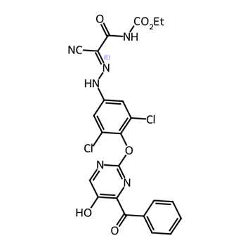 CCOC(=O)NC(=O)/C(C#N)=N/Nc1cc(Cl)c(Oc2ncc(O)c(C(=O)c3ccccc3)n2)c(Cl)c1